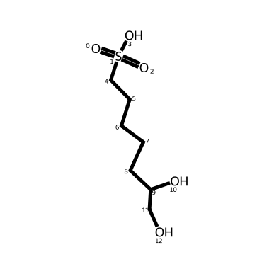 O=S(=O)(O)CCCCCC(O)CO